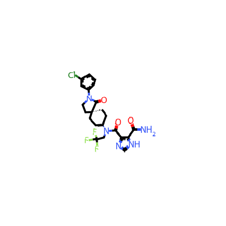 NC(=O)c1[nH]cnc1C(=O)N(CC(F)(F)F)[C@H]1CC[C@@]2(CCN(c3cccc(Cl)c3)C2=O)CC1